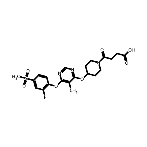 Cc1c(Oc2ccc(S(C)(=O)=O)cc2F)ncnc1OC1CCN(C(=O)CCC(=O)O)CC1